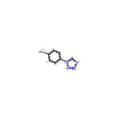 CC(=O)c1ccc(-n2[c]nnn2)cc1